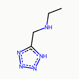 CCNCc1nnn[nH]1